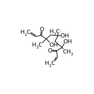 [CH2]C(O)(CC(C)(O)C(=O)C=C)CC(C)(O)C(=O)C=C